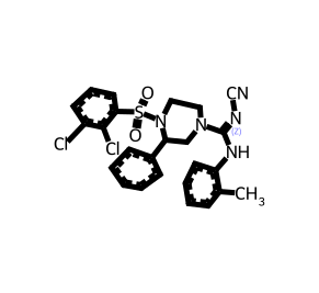 Cc1ccccc1N/C(=N/C#N)N1CCN(S(=O)(=O)c2cccc(Cl)c2Cl)C(c2ccccc2)C1